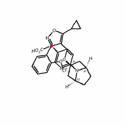 O=C(O)Oc1ccc(N2[C@@H]3CC[C@H]2C[C@@H](OCc2c(-c4ccccc4OC(F)(F)F)noc2C2CC2)C3)nc1